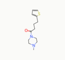 CN1CCN(C(=O)CCCc2cccs2)CC1